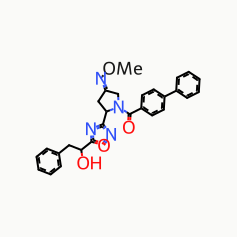 CON=C1CC(c2noc(C(O)Cc3ccccc3)n2)N(C(=O)c2ccc(-c3ccccc3)cc2)C1